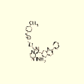 Cc1ccc(SOCC2CC(c3nc(-c4ccc5ccc(-c6ccccc6)nc5c4)c4c(N)nccn34)C2)cc1